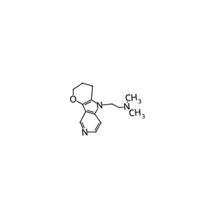 CN(C)CCn1c2c(c3cnccc31)OCCC2